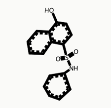 O=S(=O)(Nc1ccccc1)c1ccc(O)c2ccccc12